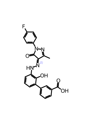 CC1=NN(c2ccc(F)cc2)C(=O)/C1=N\Nc1cccc(-c2cccc(C(=O)O)c2)c1O